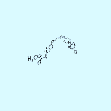 COC(=O)C1CN1C(=O)Cc1ccc(OCC[C@@H]2C[C@@H]2C2CCN(c3ncc(Cl)cn3)CC2)cc1F